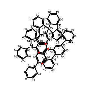 c1ccc(-c2ccc(N(c3ccc4c(c3)C3(c5ccccc5-c5ccccc53)c3ccccc3-4)c3cc(-c4ccccn4)ccc3-c3ccccc3-c3ccc4c5ccccc5n(-c5ccccc5)c4c3)cc2)cc1